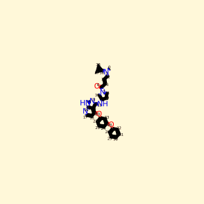 CN(CC=CC(=O)N1CCC(Nc2n[nH]c3nccc(Oc4cccc(Oc5ccccc5)c4)c23)C1)C1CC1